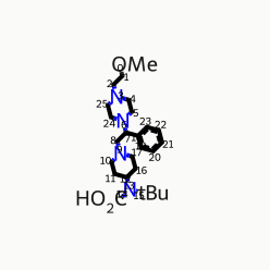 COCCN1CCN(C(CN2CCC(N(C(=O)O)C(C)(C)C)CC2)c2ccccc2)CC1